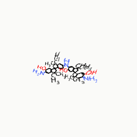 CC1(C)CC2(CC(C)(C)c3cc(N)c(O)cc32)c2ccc(Nc3cc4c(cc3O)C3(CC(C)(C)c5cc(N)c(O)cc53)CC4(C)C)cc21